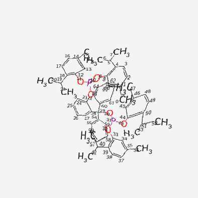 Cc1ccc(C(C)C)c(OP(Oc2cc(C)ccc2C(C)C)Oc2ccccc2C(OP(Oc2cc(C)ccc2C(C)C)Oc2cc(C)ccc2C(C)C)(c2ccccc2)c2ccccc2)c1